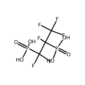 O=P(O)(O)C(F)(F)C(F)(C(F)(F)F)P(=O)(O)O